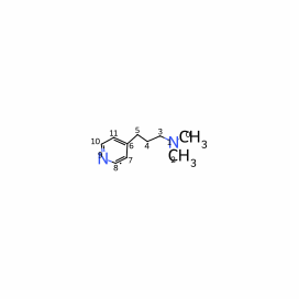 CN(C)CCCc1c[c]ncc1